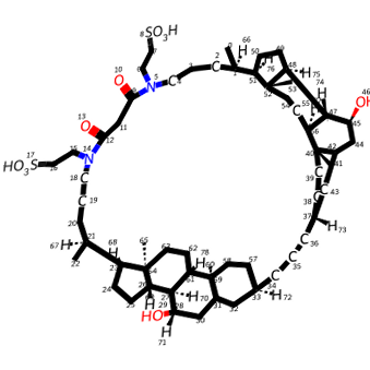 C[C@@H]1CCCN(CCS(=O)(=O)O)C(=O)CC(=O)N(CCS(=O)(=O)O)CCC[C@H](C)[C@H]2CC[C@H]3[C@@H]4[C@@H](O)CC5C[C@H](CCC[C@@H]6CC[C@@]7(C)C(C6)C[C@H](O)[C@H]6[C@@H]8CC[C@H]1[C@@]8(C)CC[C@@H]67)CC[C@]5(C)[C@H]4CC[C@]23C